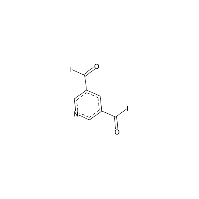 O=C(I)c1cncc(C(=O)I)c1